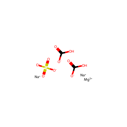 O=C([O-])O.O=C([O-])O.O=S(=O)([O-])[O-].[Mg+2].[Na+].[Na+]